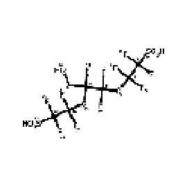 O=S(=O)(O)C(F)(F)C(F)(F)OC(F)(F)C(F)(CO)OC(F)(F)C(F)(F)S(=O)(=O)O